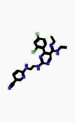 C=CN/C(=N\CC)c1cnc(NCCNc2ccc(C#N)cn2)nc1-c1ccc(Cl)cc1Cl